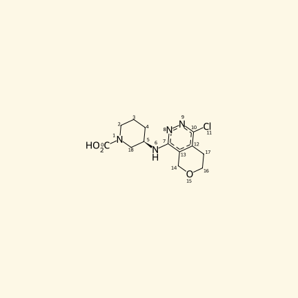 O=C(O)N1CCC[C@@H](Nc2nnc(Cl)c3c2COCC3)C1